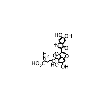 Cn1cc(-c2coc3cc(O)c(O)c(C(=O)OCCC(N)C(=O)O)c3c2=O)c(=O)c2cc(O)c(O)cc21